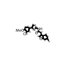 COc1ccc(-c2csc(NC(=O)Cc3coc4cc(C)ccc34)n2)cc1Cl